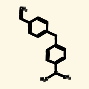 C=Cc1ccc(Cc2ccc(N(C)C)cc2)cc1